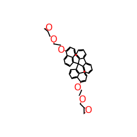 c1ccc2c(c1)-c1ccccc1C2(c1cccc2c(OCCOCC3CO3)cccc12)c1cccc2c(OCCOCC3CO3)cccc12